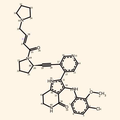 COc1c(Cl)cccc1Nc1c(-c2ccncc2C#C[C@H]2CCCN2C(=O)/C=C/CN2CCCC2)[nH]c2c1C(=O)NCC2